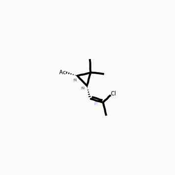 CC(=O)[C@H]1[C@@H](/C=C(/C)Cl)C1(C)C